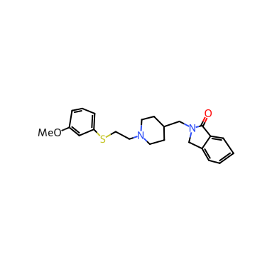 COc1cccc(SCCN2CCC(CN3Cc4ccccc4C3=O)CC2)c1